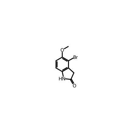 COc1ccc2c(c1Br)CC(=O)N2